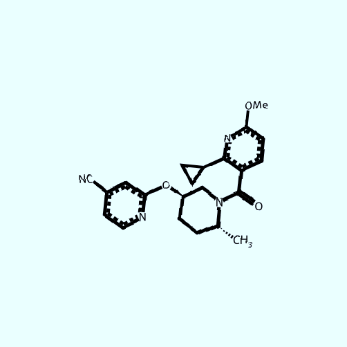 COc1ccc(C(=O)N2C[C@H](Oc3cc(C#N)ccn3)CC[C@H]2C)c(C2CC2)n1